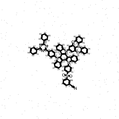 N#Cc1cccc(S(=O)(=O)c2ccc(-n3c4ccccc4c4c3c3c5ccccc5n(-c5ccc(-c6nc(-c7ccccc7)nc(-c7ccccc7)n6)cc5)c3c3c5ccccc5n(-c5cc6c7c(c5)Oc5ccccc5B7c5ccccc5O6)c34)cc2)c1